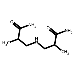 CC(CNCC(C)C(N)=O)C(N)=O